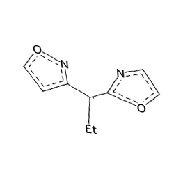 CC[C](c1ccon1)c1ncco1